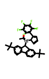 C[C](C)=[Hf]([CH]1C=CC=C1c1c(F)c(F)c(F)c(F)c1F)[CH]1c2cc(C(C)(C)C)ccc2-c2ccc(C(C)(C)C)cc21